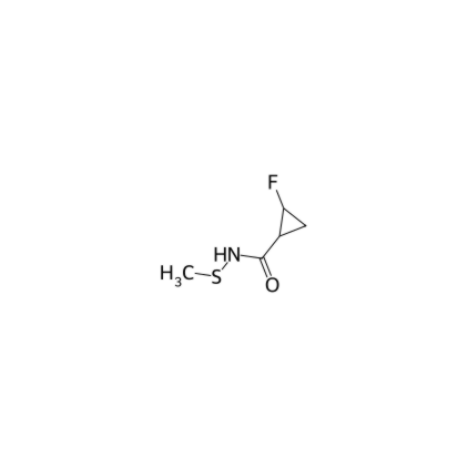 CSNC(=O)C1CC1F